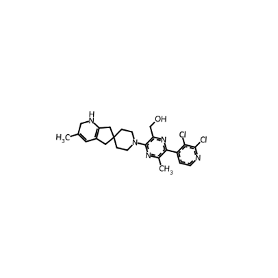 CC1=CC2=C(CC3(CCN(c4nc(C)c(-c5ccnc(Cl)c5Cl)nc4CO)CC3)C2)NC1